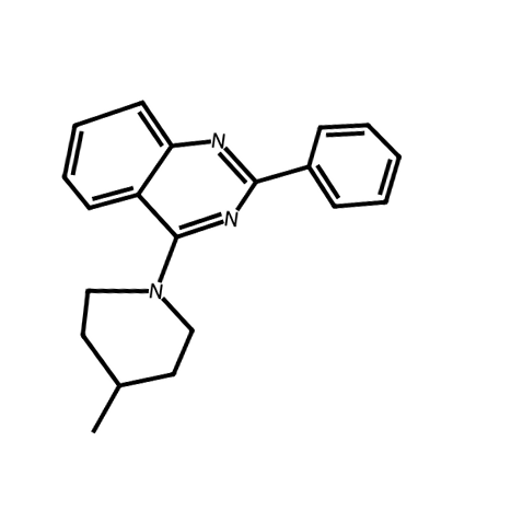 CC1CCN(c2nc(-c3ccccc3)nc3ccccc23)CC1